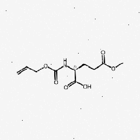 C=CCOC(=O)N[C@@H](CCC(=O)OC)C(=O)O